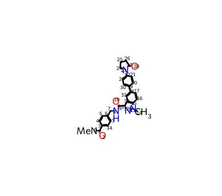 CNC(=O)c1ccc(CNC(=O)c2nn(C)c3ccc(-c4ccc(N5CCCC5=O)cc4)cc23)cc1